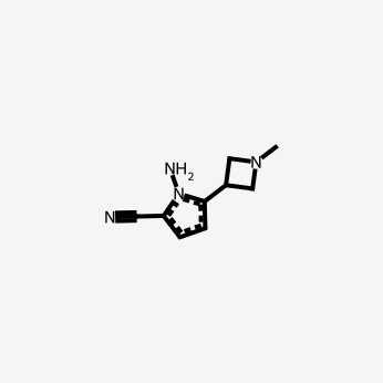 CN1CC(c2ccc(C#N)n2N)C1